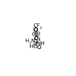 Nc1cc(S(=O)(=O)c2ccc(C(F)(F)F)cc2)cnc1C(=O)N[C@@H]1CCC[C@@H]1O